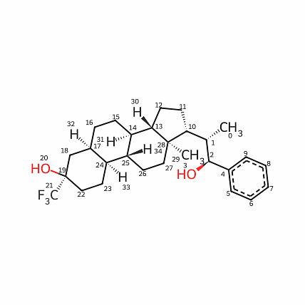 C[C@H]([C@H](O)c1ccccc1)[C@H]1CC[C@H]2[C@@H]3CC[C@@H]4C[C@@](O)(C(F)(F)F)CC[C@@H]4[C@H]3CC[C@]12C